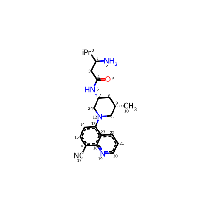 CC(C)C(N)CC(=O)N[C@@H]1C[C@H](C)CN(c2ccc(C#N)c3ncccc23)C1